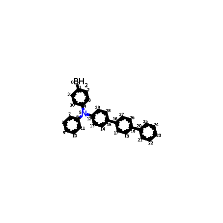 Bc1ccc(N(c2ccccc2)c2ccc(-c3ccc(-c4ccccc4)cc3)cc2)cc1